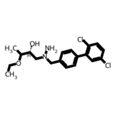 CCOC(C)[C@H](O)CN(N)Cc1ccc(-c2cc(Cl)ccc2Cl)cc1